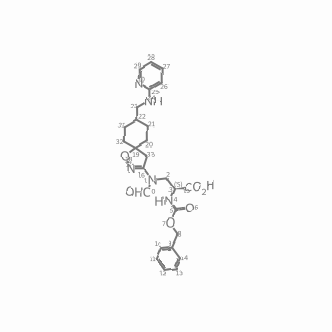 O=CN(C[C@H](NC(=O)OCc1ccccc1)C(=O)O)C1=NOC2(CCC(CNc3ccccn3)CC2)C1